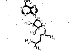 CC(N)CCN(C)C[C@H]1O[C@@H](n2cnc3c(N)ncnc32)[C@H](O)[C@@H]1O